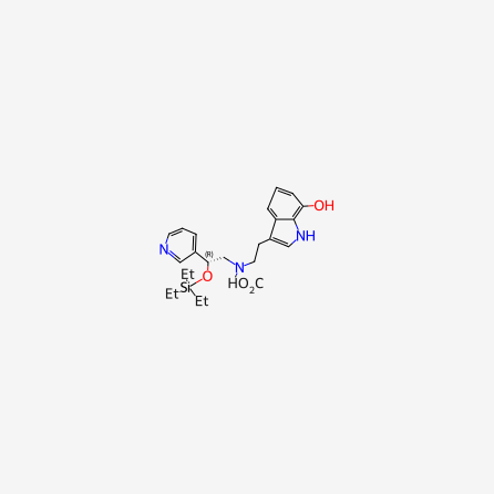 CC[Si](CC)(CC)O[C@@H](CN(CCc1c[nH]c2c(O)cccc12)C(=O)O)c1cccnc1